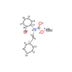 CC(C)(C)OC(=O)N(C#Cc1ccccc1)c1ccccc1Br